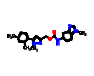 Cc1ccc(-c2cc(COC(=O)Nc3ccc4c(c3)ncn4C)nn2C)c(C)c1